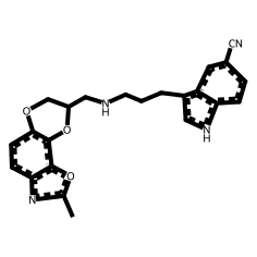 Cc1nc2ccc3c(c2o1)OC(CNCCCc1c[nH]c2ccc(C#N)cc12)CO3